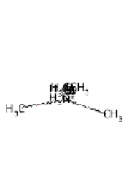 CCCCCCCCCCCCCCCCCCC[N+](C)(CCCCCCCCCCCCCCCCCC)CCC[Si](OC)(OC)OC